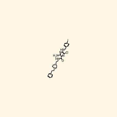 Nc1nc(NCc2ccc(I)cc2)c(Cl)nc1C(=O)NCCN1CCN(CCc2ccccc2)CC1